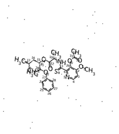 COc1ccnc(C(=S)N[C@@H](C)C(=O)O[C@H](CC(C)C)[C@H](C)Oc2ccccc2)c1OC(C)=O